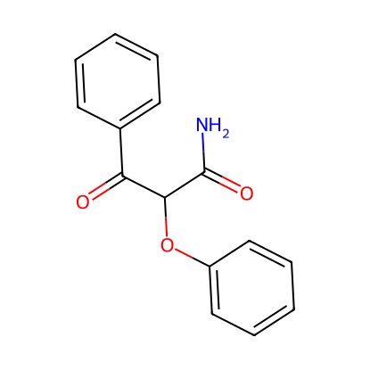 NC(=O)C(Oc1ccccc1)C(=O)c1ccccc1